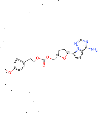 COc1ccc(CCOC(=O)OC[C@@H]2CC[C@H](c3ccc4c(N)ncnn34)O2)cc1